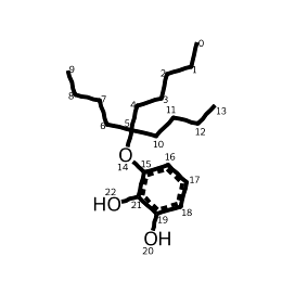 CCCCCC(CCCC)(CCCC)Oc1cccc(O)c1O